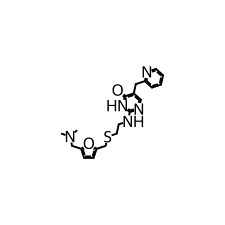 CN(C)Cc1ccc(CSCCNc2ncc(Cc3ccccn3)c(=O)[nH]2)o1